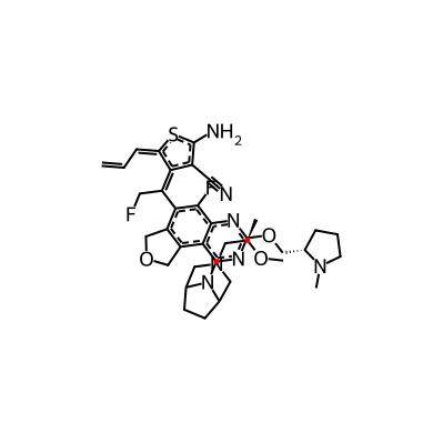 C=C/C=c1/sc(N)c(C#N)/c1=C(/CF)c1c2c(c3c(N4C5CCC4CN(C[C@@H](C)OC)C5)nc(OC[C@@H]4CCCN4C)nc3c1F)COC2